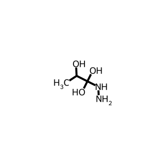 CC(O)C(O)(O)NN